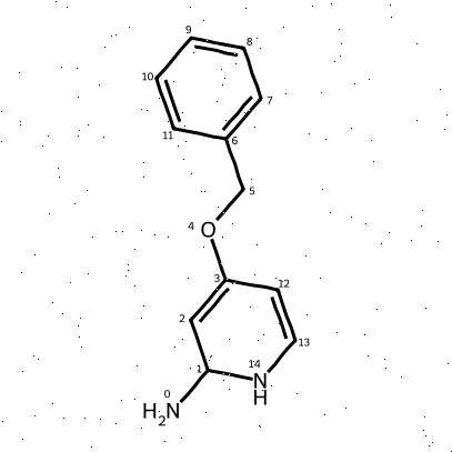 NC1C=C(OCc2ccccc2)C=CN1